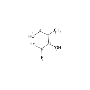 CC(CO)C(O)C(F)F